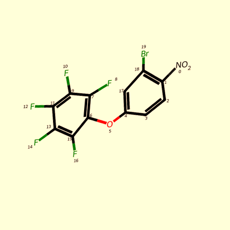 O=[N+]([O-])c1ccc(Oc2c(F)c(F)c(F)c(F)c2F)cc1Br